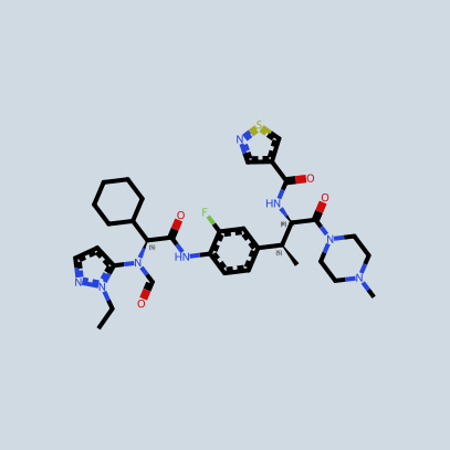 CCn1nccc1N(C=O)[C@H](C(=O)Nc1ccc([C@H](C)[C@@H](NC(=O)c2cnsc2)C(=O)N2CCN(C)CC2)cc1F)C1CCCCC1